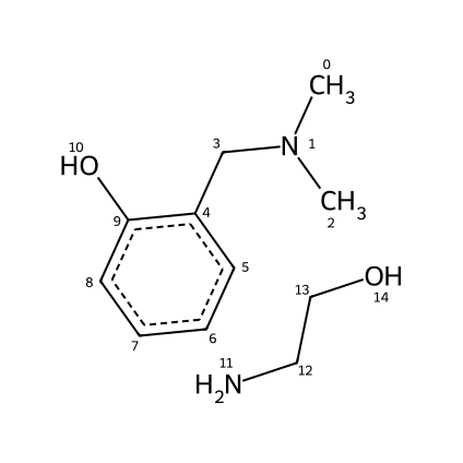 CN(C)Cc1ccccc1O.NCCO